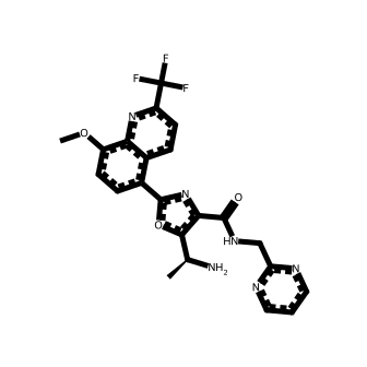 COc1ccc(-c2nc(C(=O)NCc3ncccn3)c([C@H](C)N)o2)c2ccc(C(F)(F)F)nc12